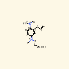 C=CCc1cc(N(C)CCC=O)ccc1N(C)C(C)C